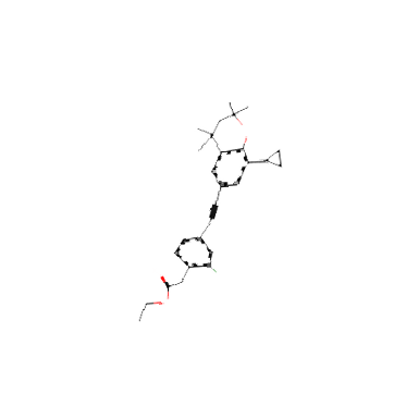 CCOC(=O)Cc1ccc(C#Cc2cc(C3CC3)c3c(c2)C(C)(C)CC(C)(C)O3)cc1F